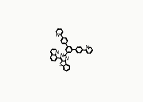 c1ccc(-c2ccc(-c3cc(-c4ccc(-c5ccccn5)cc4)cc(-c4nc(-c5cccc6cccnc56)c5sc6ccccc6c5n4)c3)cc2)nc1